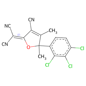 [C-]#[N+]/C(C#N)=C1\OC(C)(c2ccc(Cl)c(Cl)c2Cl)C(C)=C1C#N